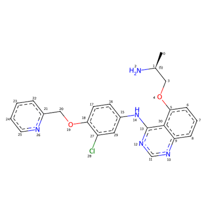 C[C@H](N)COc1cccc2ncnc(Nc3ccc(OCc4ccccn4)c(Cl)c3)c12